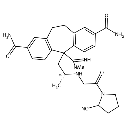 CNC(=N)C1(C[C@@H](C)NCC(=O)N2CCCC2C#N)c2ccc(C(N)=O)cc2CCc2cc(C(N)=O)ccc21